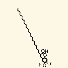 CCCCCCCCCCCCCCCCCCCCCCC(=Cc1ccc(OC)c(O)c1)C(=O)O